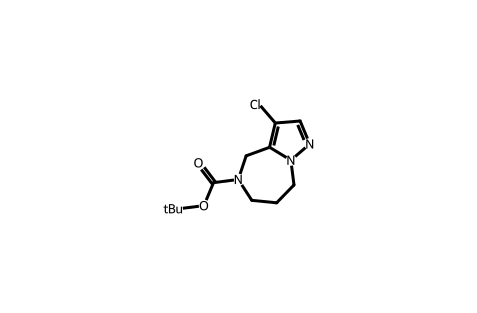 CC(C)(C)OC(=O)N1CCCn2ncc(Cl)c2C1